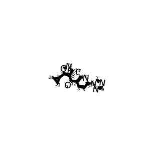 O=C(c1ccc(-n2cncn2)nc1C(F)(F)F)c1cnoc1C1CC1